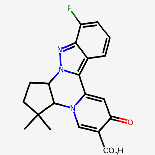 CC1(C)CCC2C1n1cc(C(=O)O)c(=O)cc1-c1c3cccc(F)c3nn12